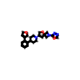 C1=C(c2ccccc2C2CCN([C@@H]3COC4(C3)CN(c3nnco3)C4)CC2)COC1